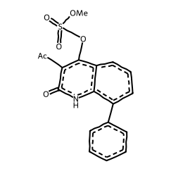 COS(=O)(=O)Oc1c(C(C)=O)c(=O)[nH]c2c(-c3ccccc3)cccc12